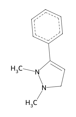 CN1CC=C(c2ccccc2)N1C